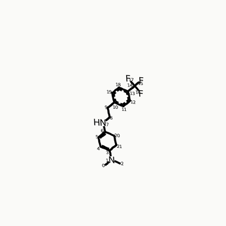 CN(C)C1=CC=C(NCCc2ccc(C(F)(F)F)cc2)CC1